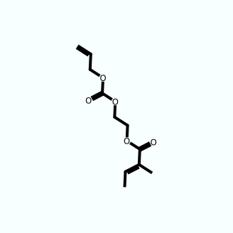 C=CCOC(=O)OCCOC(=O)C(C)=CC